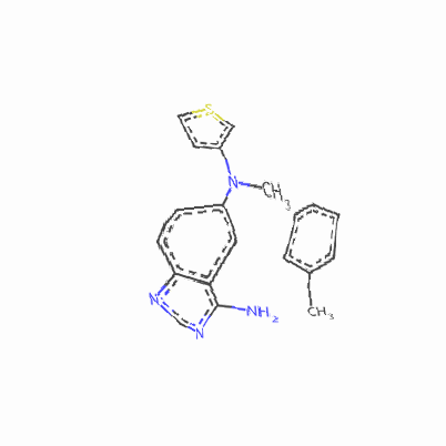 CN(c1ccsc1)c1ccc2ncnc(N)c2c1.Cc1ccccc1